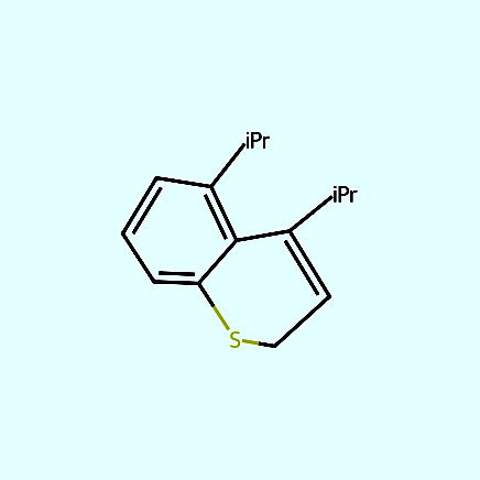 CC(C)C1=CCSc2cccc(C(C)C)c21